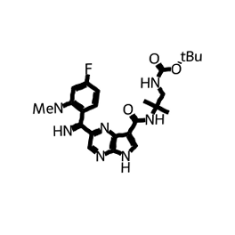 CNc1cc(F)ccc1C(=N)c1cnc2[nH]cc(C(=O)NC(C)(C)CNC(=O)OC(C)(C)C)c2n1